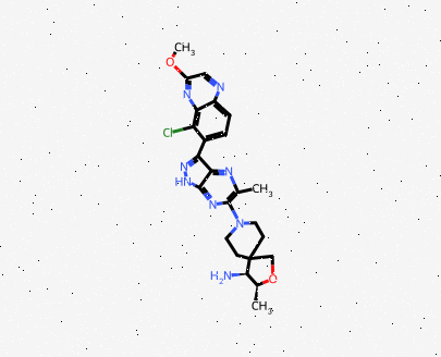 COc1cnc2ccc(-c3n[nH]c4nc(N5CCC6(CC5)CO[C@@H](C)[C@H]6N)c(C)nc34)c(Cl)c2n1